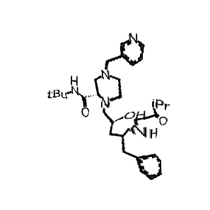 CC(C)C(=O)CNC(Cc1ccccc1)C[C@H](O)CN1CCN(Cc2cccnc2)C[C@H]1C(=O)NC(C)(C)C